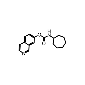 O=C(NC1CCCCCC1)Oc1ccc2ccncc2c1